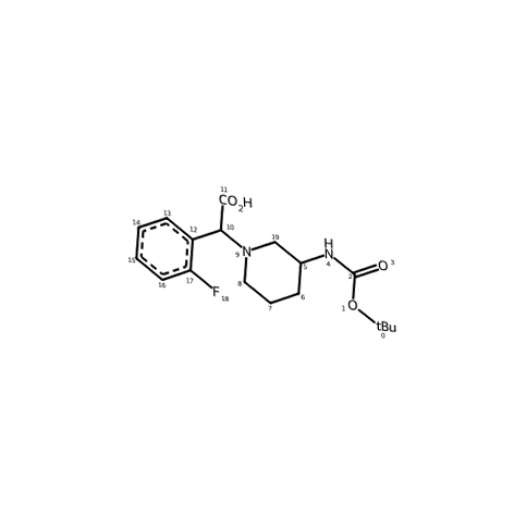 CC(C)(C)OC(=O)NC1CCCN(C(C(=O)O)c2ccccc2F)C1